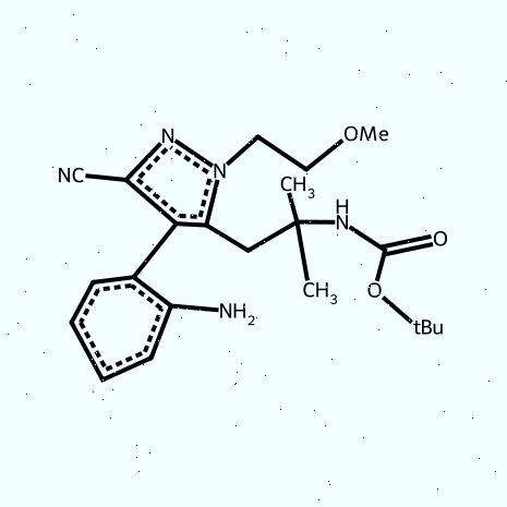 COCCn1nc(C#N)c(-c2ccccc2N)c1CC(C)(C)NC(=O)OC(C)(C)C